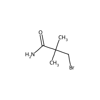 CC(C)(CBr)C(N)=O